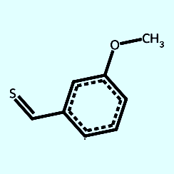 COc1cc[c]c(C=S)c1